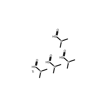 CN(C)[SiH]=O.CN(C)[SiH]=O.CN(C)[SiH]=O.CN(C)[SiH]=O.[Ti]